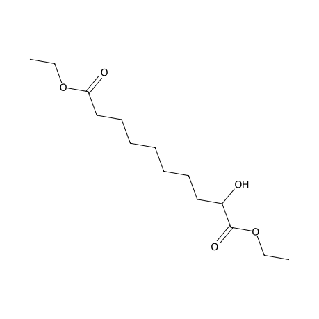 CCOC(=O)CCCCCCCC(O)C(=O)OCC